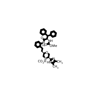 COC(=O)N[C@H](C(=O)Nc1ccccc1CC[C@@H]1CN(C(=O)O)[C@H](c2nc(C)c(C)[nH]2)CO1)C(c1ccccc1)c1ccccc1